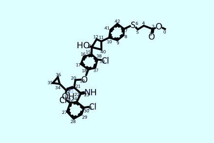 COC(=O)CCSc1ccc(C2CC(O)(c3ccc(OC/C(C(=N)c4c(Cl)cccc4Cl)=C(/O)C4CC4)cc3Cl)C2)cc1